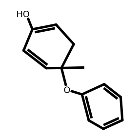 CC1(Oc2ccccc2)C=CC(O)=CC1